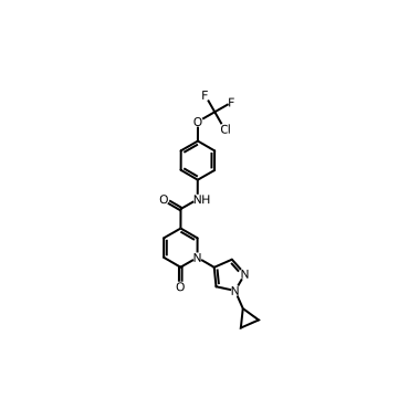 O=C(Nc1ccc(OC(F)(F)Cl)cc1)c1ccc(=O)n(-c2cnn(C3CC3)c2)c1